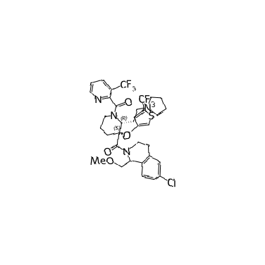 COCC1c2ccc(Cl)cc2CCN1C(=O)[C@]1(Oc2csc(C(F)(F)F)c2)CCCN(C(=O)c2ncccc2C(F)(F)F)[C@@H]1CCN1CCCC1